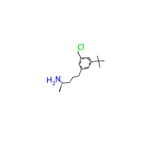 C[C@@H](N)CCCc1cc(CCl)cc(C(C)(C)C)c1